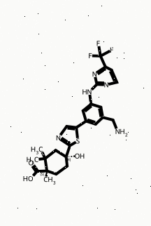 CC1(C)C[C@@](O)(c2ncc(-c3cc(CN)cc(Nc4nccc(C(F)(F)F)n4)c3)s2)CC[C@]1(C)C(=O)O